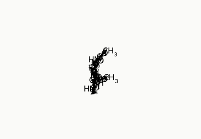 COCCOC(=O)Nc1ccc(-c2cc3sc(C(C(=O)NCC(=O)NC4CC4)S(=O)(=O)CCOC)nc3cc2F)cn1